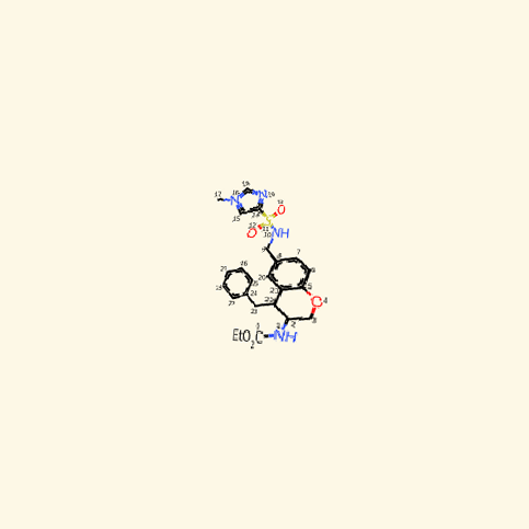 CCOC(=O)NC1COc2ccc(CNS(=O)(=O)c3cn(C)cn3)cc2C1Cc1ccccc1